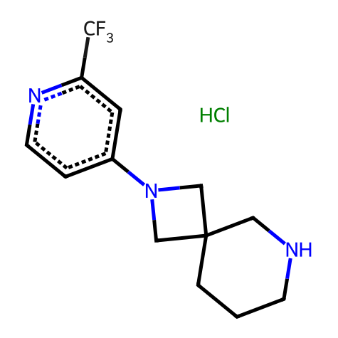 Cl.FC(F)(F)c1cc(N2CC3(CCCNC3)C2)ccn1